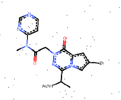 CC(=O)NC(C)c1nn(CC(=O)N(C)c2ccncn2)c(=O)c2cc(C(C)C)cn12